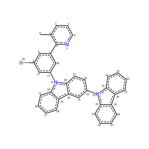 Cc1cccnc1-c1cc(Br)cc(-n2c3ccccc3c3cc(-n4c5ccccc5c5ccccc54)ccc32)c1